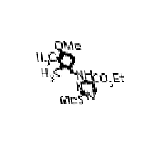 CCOC(=O)c1cnc(SC)nc1NCC1C=CC(OC)=C(C)C1C